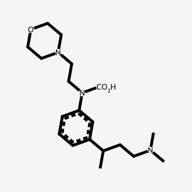 CC(CCN(C)C)c1cccc(N(CCN2CCOCC2)C(=O)O)c1